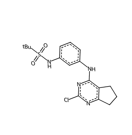 CC(C)(C)S(=O)(=O)Nc1cccc(Nc2nc(Cl)nc3c2CCC3)c1